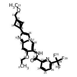 CCOc1cc2nc(C34CC(COC)(C3)C4)cn2cc1NC(=O)c1cccc(C(F)(F)F)n1